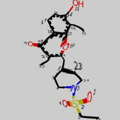 CCS(=O)(=O)N1CCC(c2oc3c(C)c(O)ccc3c(=O)c2C)CC1